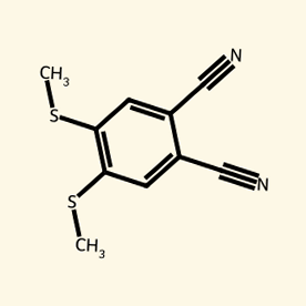 CSc1cc(C#N)c(C#N)cc1SC